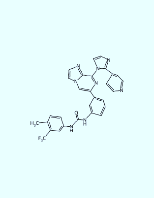 Cc1ccc(NC(=O)Nc2cccc(-c3cn4ccnc4c(-n4ccnc4-c4ccncc4)n3)c2)cc1C(F)(F)F